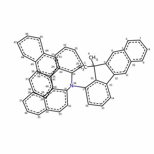 CC1(C)c2cc3ccccc3cc2-c2cccc(N(c3ccccc3-c3ccccc3)c3ccc4ccccc4c3-c3ccc4ccccc4c3)c21